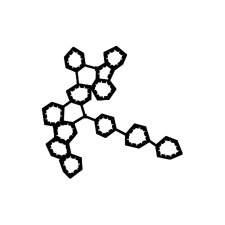 c1ccc(-c2ccc(-c3ccc(N(c4cccc(-c5ccccc5)c4)c4ccc(-c5ccccc5-n5c6ccccc6c6ccccc65)cc4-c4cccc(-c5ccccc5)c4)cc3)cc2)cc1